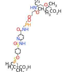 CP(CC(C)(C)C(=O)O)SOc1ccc([S+]([O-])Nc2ccc(C(=O)NCPCOOCCC(=O)NC(C)(C)CCOC(C)(C)CC(=O)O)cn2)cc1